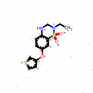 CCN1CNc2ccc(Oc3ccsc3)cc2S1(=O)=O